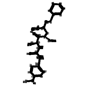 CCCC[C@@H](CN(C=O)OCc1ccccc1)C(=O)[C@@H](NC(=O)Nc1ccc(OF)cn1)C(C)C